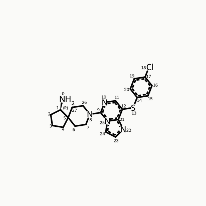 N[C@@H]1CCCC12CCN(c1ncc(Sc3ccc(Cl)cc3)c3nccn13)CC2